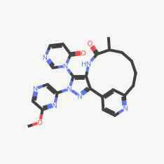 COc1cncc(-n2nc3c(c2-n2cnccc2=O)NC(=O)C(C)CCCCc2cc-3ccn2)n1